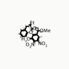 CCN(Cc1ccccc1)C(=O)Oc1c(C(=O)OC)cc([N+](=O)[O-])c([N+](=O)[O-])c1C